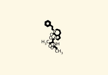 CCC(=O)NC(C(=O)N1CCC2CCCN(CCc3ccccc3)C(=O)C21)C(C)C